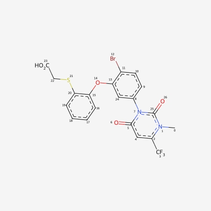 Cn1c(C(F)(F)F)cc(=O)n(-c2ccc(Br)c(Oc3ccccc3SCC(=O)O)c2)c1=O